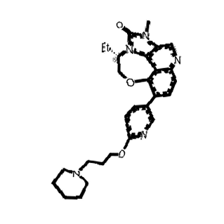 CC[C@H]1COc2c(-c3ccc(OCCCN4CCCCC4)nc3)ccc3ncc4c(c23)n1c(=O)n4C